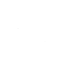 CCCCCO[C](c1ccccc1)c1ccc(P(c2ccccc2)c2ccccc2)cc1